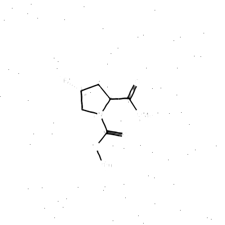 COC(=O)C1C[C@@H](F)CN1C(=O)OC(C)(C)C